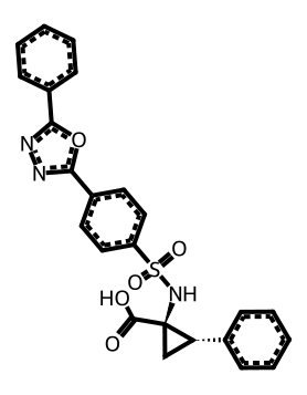 O=C(O)[C@@]1(NS(=O)(=O)c2ccc(-c3nnc(-c4ccccc4)o3)cc2)C[C@H]1c1ccccc1